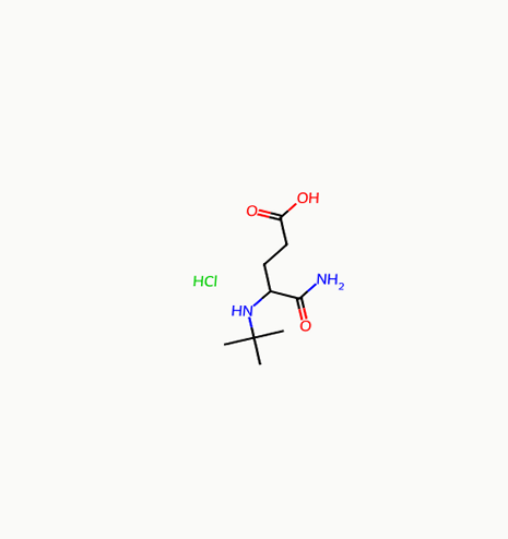 CC(C)(C)NC(CCC(=O)O)C(N)=O.Cl